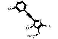 CCOC(=O)Oc1c(C)nc(C#Cc2cccc(C)c2)n1C